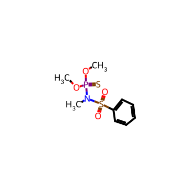 COP(=S)(OC)N(C)S(=O)(=O)c1ccccc1